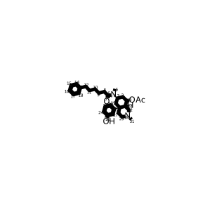 CC(=O)OC1C[C@@H](N(C)C(=O)CCCCCc2ccccc2)C[C@]2(c3cccc(O)c3)CCN(C)C[C@@H]12